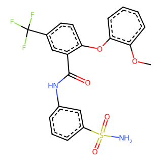 COc1ccccc1Oc1ccc(C(F)(F)F)cc1C(=O)Nc1cccc(S(N)(=O)=O)c1